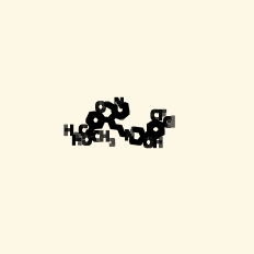 CC(C)(O)c1ccc2c(c1)/C(=C/CCN1CCC(O)(c3ccc(Cl)c(C(F)(F)F)c3)CC1)c1cccnc1CO2